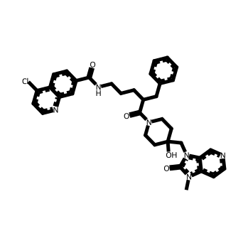 Cn1c(=O)n(CC2(O)CCN(C(=O)C(CCCNC(=O)c3ccc4c(Cl)ccnc4c3)Cc3ccccc3)CC2)c2cnccc21